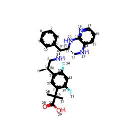 C[C@@H](CN[C@H](c1ccccc1)[C@H]1CNc2cccnc2N1)c1cc(C(C)(C)C(=O)O)c(F)cc1F